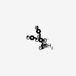 COc1ccc(COc2cc(C(CS(C)(=O)=O)ON)[n+]([O-])cc2OCc2ccc(OC)cc2)cc1